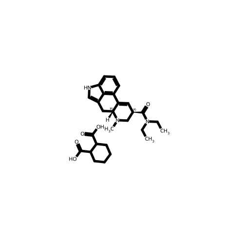 CCN(CC)C(=O)[C@@H]1C=C2c3cccc4[nH]cc(c34)C[C@H]2N(C)C1.O=C(O)C1CCCCC1C(=O)O